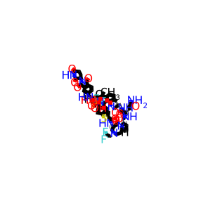 CC(C)(C)c1ccc(C[C@H](NC(=O)[C@H](CCC(N)=O)NC(=O)[C@@H]2CC[C@@H]3CCN(CC(F)F)C[C@H](NC(=O)c4cc5cc(C(F)(F)P(=O)(O)O)ccc5s4)C(=O)N32)C(=O)N2CCC(N3CCC(Nc4ccc5c(c4)C(=O)N(C4CCC(=O)NC4=O)C5=O)CC3)CC2)cc1